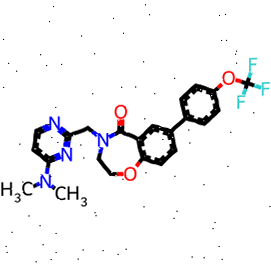 CN(C)c1ccnc(CN2CCOc3ccc(-c4ccc(OC(F)(F)F)cc4)cc3C2=O)n1